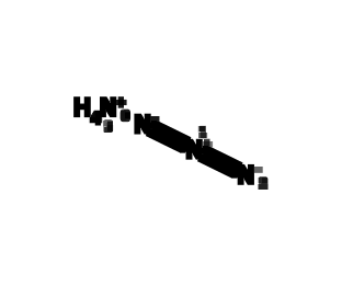 [N-]=[N+]=[N-].[NH4+]